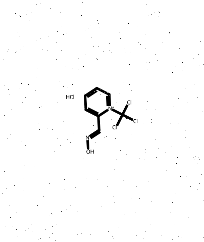 Cl.ON=Cc1cccc[n+]1C(Cl)(Cl)Cl